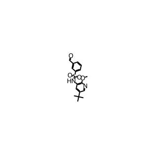 COc1ncc(C(C)(C)C)cc1NS(=O)(=O)c1cccc(C=O)c1